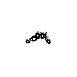 O=C(C1Cc2ccccc2O1)N1CCN(c2ccc3c(c2)CCN(C2CCCC2)CC3)CC1